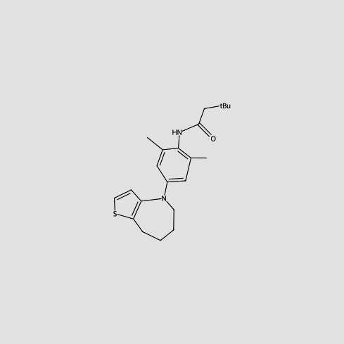 Cc1cc(N2CCCCc3sccc32)cc(C)c1NC(=O)CC(C)(C)C